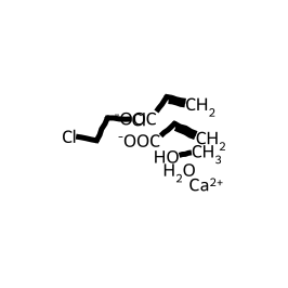 C=CC(=O)[O-].C=CC(=O)[O-].CO.ClCCCl.O.[Ca+2]